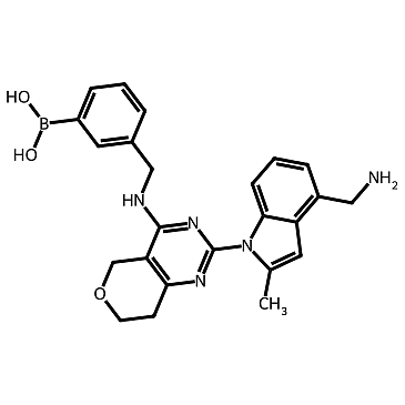 Cc1cc2c(CN)cccc2n1-c1nc2c(c(NCc3cccc(B(O)O)c3)n1)COCC2